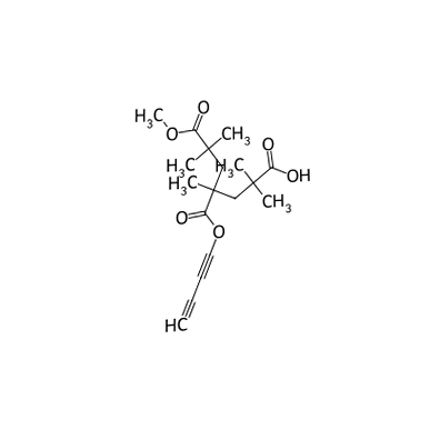 C#CC#COC(=O)C(C)(CC(C)(C)C(=O)O)CC(C)(C)C(=O)OC